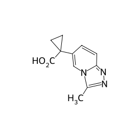 Cc1nnc2ccc(C3(C(=O)O)CC3)cn12